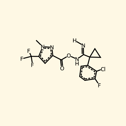 [H]/N=C(\NOC(=O)c1cc(C(F)(F)F)n(C)n1)C1(c2cccc(F)c2Cl)CC1